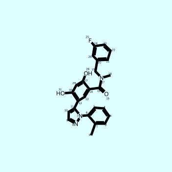 Cc1ccccc1-n1nccc1-c1cc(C(=O)N(C)Cc2cccc(F)c2)c(O)cc1O